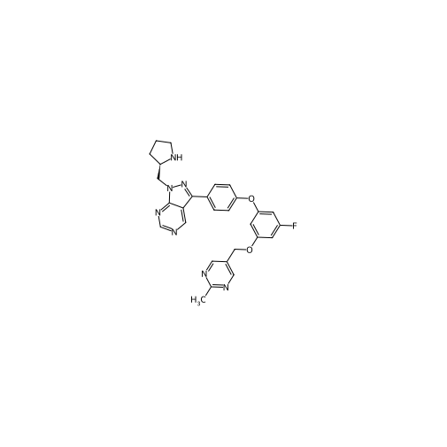 Cc1ncc(COc2cc(F)cc(Oc3ccc(-c4nn(C[C@H]5CCCN5)c5ncncc45)cc3)c2)cn1